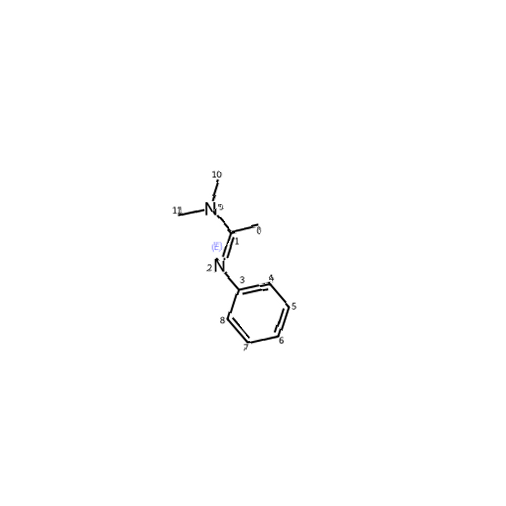 C/C(=N\c1ccccc1)N(C)C